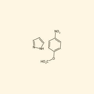 O=C(O)Oc1ccc([N+](=O)[O-])cc1.c1cn[nH]c1